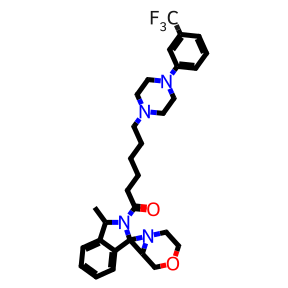 CC1c2ccccc2C2(C3COCCN32)N1C(=O)CCCCCN1CCN(c2cccc(C(F)(F)F)c2)CC1